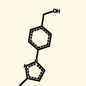 Cc1ccn(-c2ccc(CO)cc2)n1